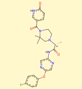 C[C@H](C(=O)Nc1cnc(Oc2ccc(F)cc2)cn1)N1CCN(C(=O)c2ccc(=O)[nH]c2)C(C)(C)C1